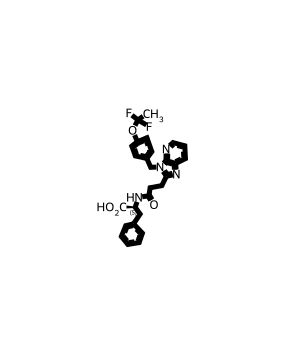 CC(F)(F)Oc1ccc(Cn2c(CCC(=O)N[C@@H](Cc3ccccc3)C(=O)O)nc3cccnc32)cc1